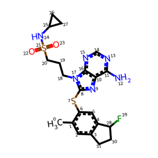 Cc1cc2c(cc1Sc1nc3c(N)ncnc3n1CCCS(=O)(=O)NC1CC1)C(F)CC2